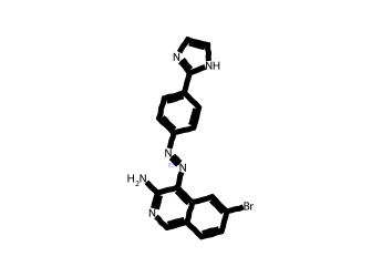 Nc1ncc2ccc(Br)cc2c1/N=N/c1ccc(-c2ncc[nH]2)cc1